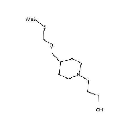 CSSCOCC1CCN(CCCO)CC1